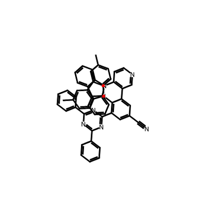 Cc1ccc2c(c1)c1cc(C)ccc1n2-c1c(-c2nc(-c3ccccc3)nc(-c3ccccc3)n2)cc(C#N)cc1-c1cnccc1-n1c2ccccc2c2ccccc21